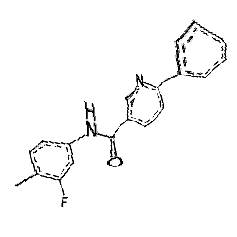 Cc1ccc(NC(=O)c2ccc(-c3ccccc3)nc2)cc1F